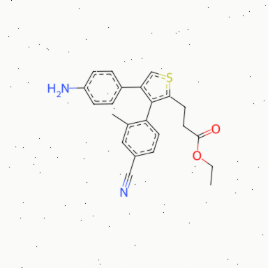 CCOC(=O)CCc1scc(-c2ccc(N)cc2)c1-c1ccc(C#N)cc1C